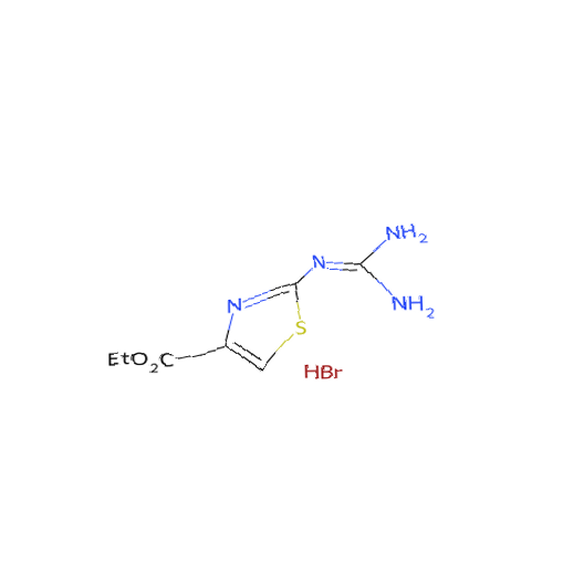 Br.CCOC(=O)c1csc(N=C(N)N)n1